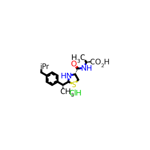 CC(C)Cc1ccc([C@@H](C)C2N[C@H](C(=O)N[C@@H](C)C(=O)O)CS2)cc1.Cl